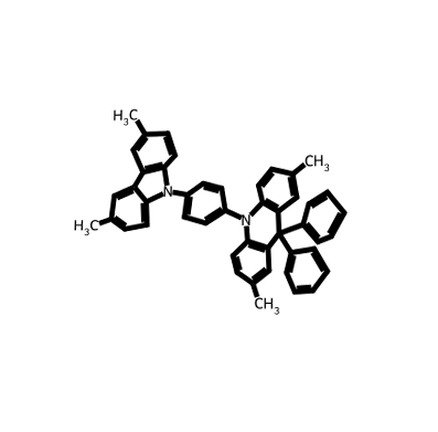 Cc1ccc2c(c1)C(c1ccccc1)(c1ccccc1)c1cc(C)ccc1N2c1ccc(-n2c3ccc(C)cc3c3cc(C)ccc32)cc1